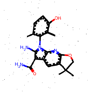 Cc1ccc(O)c(C)c1-n1c(N)c(C(N)=O)c2cc3c(nc21)OCC3(C)C